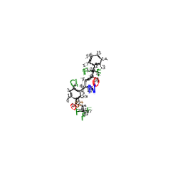 Cc1cc(Cl)c(-c2cc(C(F)(F)c3ccccc3)on2)cc1[S+]([O-])CC(F)(F)F